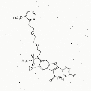 CNC(=O)c1c(-c2ccc(F)cc2)oc2cc(N(CCOCCOCCc3ccccc3C(=O)O)S(C)(=O)=O)c(C3CC3)cc12